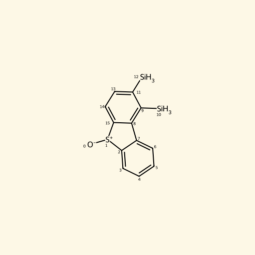 [O-][s+]1c2ccccc2c2c([SiH3])c([SiH3])ccc21